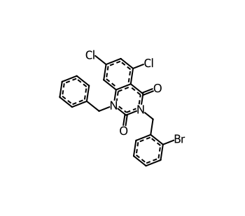 O=c1c2c(Cl)cc(Cl)cc2n(Cc2ccccc2)c(=O)n1Cc1ccccc1Br